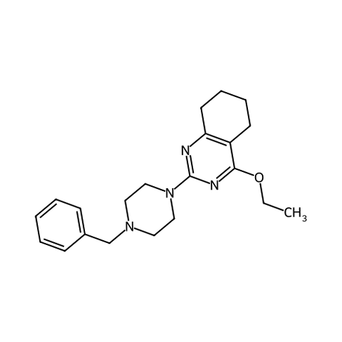 CCOc1nc(N2CCN(Cc3ccccc3)CC2)nc2c1CCCC2